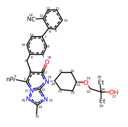 CCCc1c(Cc2ccc(-c3ccccc3C#N)cc2)c(=O)n([C@H]2CC[C@H](OCC(O)(CC)CC)CC2)c2nc(C)nn12